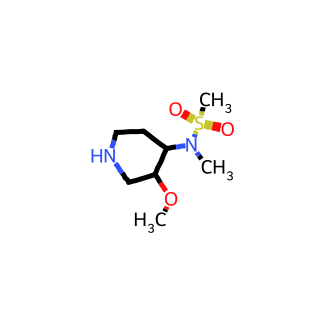 COC1CNCCC1N(C)S(C)(=O)=O